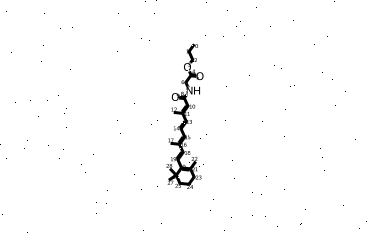 CCCOC(=O)CNC(=O)/C=C(C)/C=C/C=C(C)/C=C/C1=C(C)CCCC1(C)C